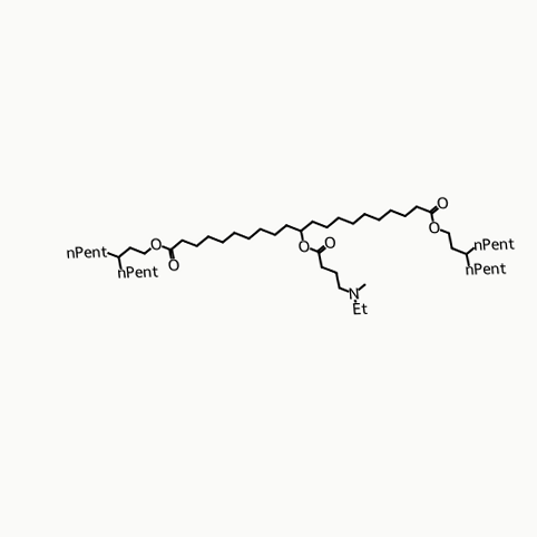 CCCCCC(CCCCC)CCOC(=O)CCCCCCCCCC(CCCCCCCCCC(=O)OCCC(CCCCC)CCCCC)OC(=O)CCCN(C)CC